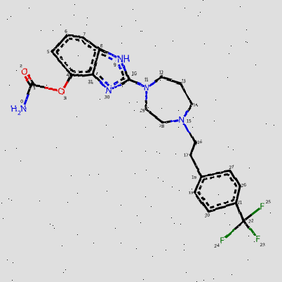 NC(=O)Oc1cccc2[nH]c(N3CCCN(CCc4ccc(C(F)(F)F)cc4)CC3)nc12